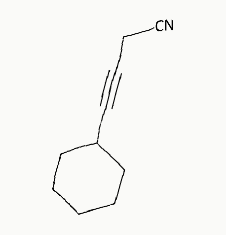 N#CCC#CC1CCCCC1